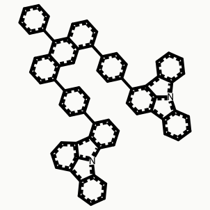 c1ccc(-c2c3cccc(-c4ccc(-c5cccc6c5c5cccc7c8ccccc8n6c75)cc4)c3cc3c(-c4ccc(-c5ccc6c7ccccc7n7c8ccccc8c5c67)cc4)cccc23)cc1